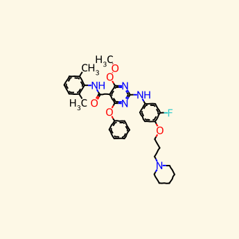 COOc1nc(Nc2ccc(OCCCN3CCCCC3)c(F)c2)nc(Oc2ccccc2)c1C(=O)Nc1c(C)cccc1C